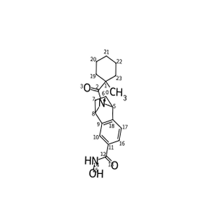 CC1(C(=O)N2C3CCC2c2cc(C(=O)NO)ccc23)CCCCC1